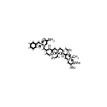 CCC(C)[C@@H](CN(CC(=O)N[C@@H](CC(C)C)CN(CC(=O)N[C@@H](CC(C)C)CN(CC(N)=O)S(=O)(=O)Cc1ccccc1)S(=O)(=O)CC(C)C)S(C)(=O)=O)NC